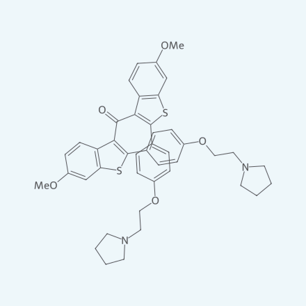 COc1ccc2c(C(=O)c3c(-c4ccc(OCCN5CCCC5)cc4)sc4cc(OC)ccc34)c(-c3ccc(OCCN4CCCC4)cc3)sc2c1